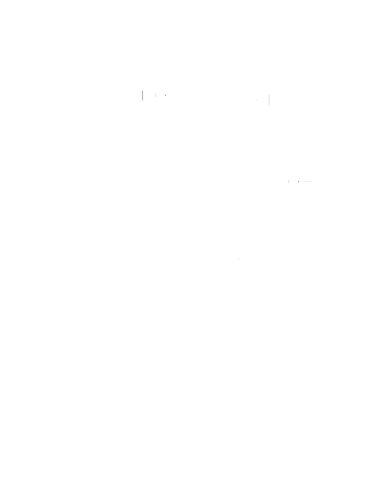 OC1=C(O)C(O)=C(O)C(c2ccc3c(c2)OCO3)C1